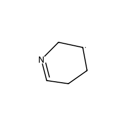 [CH]1CCC=NC1